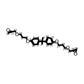 CC(C)(c1ccc(OCCCOCC2CO2)cc1)c1ccc(OCCCOCC2CO2)cc1